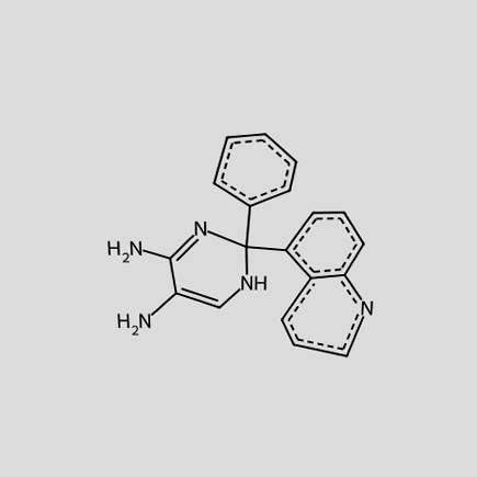 NC1=CNC(c2ccccc2)(c2cccc3ncccc23)N=C1N